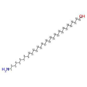 NCCCCCCCCCCCCCCCCCCCCCCCCCCCCCCCCCO